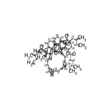 CCC(C)C=CC(=O)Oc1ccccc1-c1c(-c2ccccc2OC(=O)C=CC(C)CC)c2c(-c3ccccc3OC(=O)C=CC(C)CC)c3nc(cc4ccc(cc5nc(cc1n2-c1ccccc1OC(=O)C=CC(C)CC)C=C5)[nH]4)C=C3